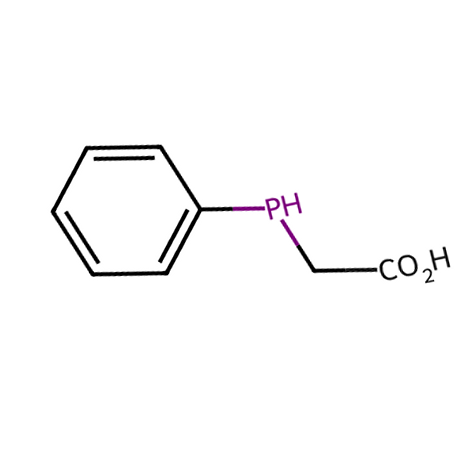 O=C(O)CPc1ccccc1